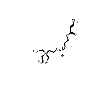 CC=CC(=O)OCCO[PH](=O)OCC[N+](CC)(CC)CC